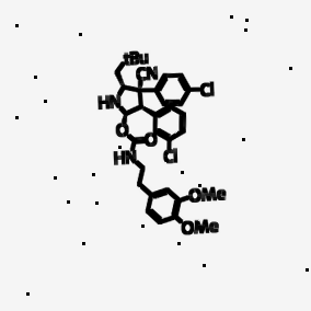 COc1ccc(CCNC(=O)O[C@H]2N[C@@H](CC(C)(C)C)[C@](C#N)(c3ccc(Cl)cc3)[C@H]2c2cccc(Cl)c2)cc1OC